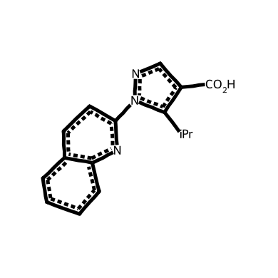 CC(C)c1c(C(=O)O)cnn1-c1ccc2ccccc2n1